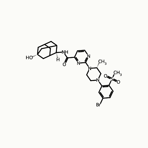 C[C@@H]1CN(c2cc(Br)ccc2S(C)(=O)=O)CCN1c1nccc(C(=O)N[C@H]2C3CC4CC2C[C@](O)(C4)C3)n1